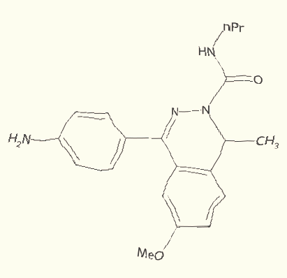 CCCNC(=O)N1N=C(c2ccc(N)cc2)c2cc(OC)ccc2C1C